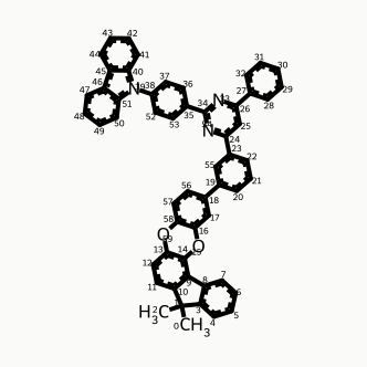 CC1(C)c2ccccc2-c2c1ccc1c2Oc2cc(-c3cccc(-c4cc(-c5ccccc5)nc(-c5ccc(-n6c7ccccc7c7ccccc76)cc5)n4)c3)ccc2O1